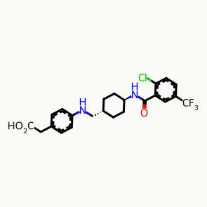 O=C(O)Cc1ccc(NC[C@H]2CC[C@H](NC(=O)c3cc(C(F)(F)F)ccc3Cl)CC2)cc1